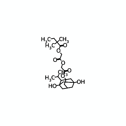 CCC(C)(C)C(=O)OCC(=O)OCC(=O)OC12CC3CC(O)(CC(O)(C3)C1C(C)C)C2